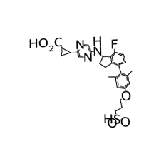 Cc1cc(OCCC[SH](=O)=O)cc(C)c1-c1ccc(F)c2c1CC[C@H]2Nc1cnc([C@@H]2C[C@H]2C(=O)O)cn1